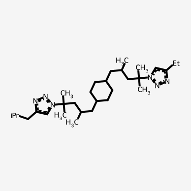 CCc1cn(C(C)(C)CC(C)CC2CCC(CC(C)CC(C)(C)n3cc(CC(C)C)nn3)CC2)nn1